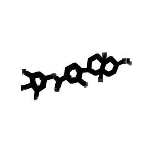 C[C@H]1CC[C@@H]2CC(c3ccc(C(=O)Oc4cc(F)c(F)c(F)c4)cc3F)CC[C@H]2C1